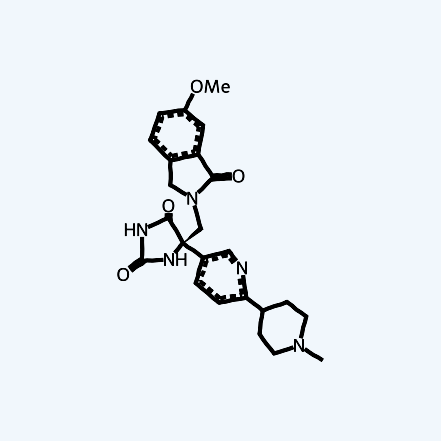 COc1ccc2c(c1)C(=O)N(C[C@@]1(c3ccc(C4CCN(C)CC4)nc3)NC(=O)NC1=O)C2